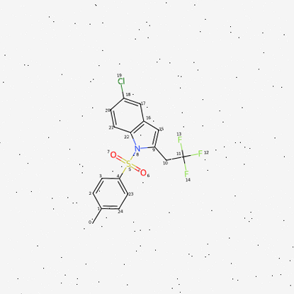 Cc1ccc(S(=O)(=O)n2c(CC(F)(F)F)cc3cc(Cl)ccc32)cc1